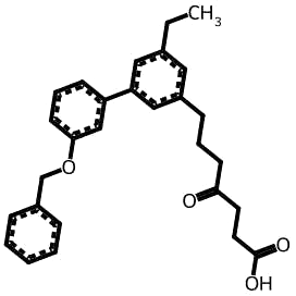 CCc1cc(CCCC(=O)CCC(=O)O)cc(-c2cccc(OCc3ccccc3)c2)c1